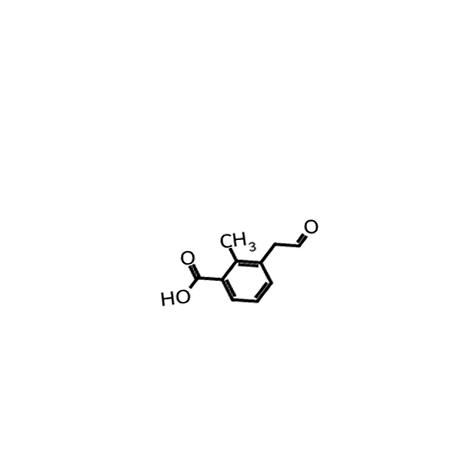 Cc1c(CC=O)cccc1C(=O)O